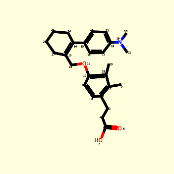 Cc1c(CCC(=O)O)ccc(OCC2=C(c3ccc(N(C)C)cc3)CCCC2)c1C